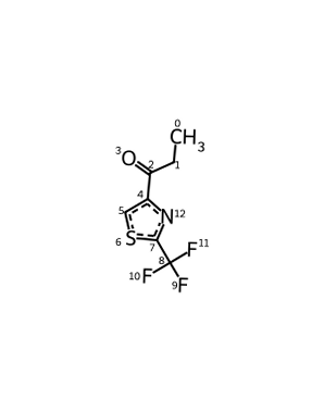 CCC(=O)c1csc(C(F)(F)F)n1